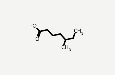 CCC(C)CCCC([O])=O